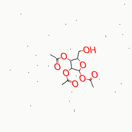 CC(=O)OC1OC(CO)C(OC(C)=O)C1OC(C)=O